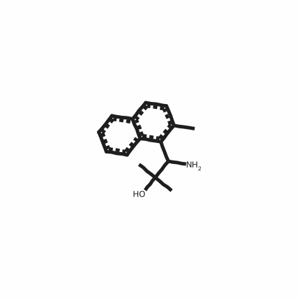 Cc1ccc2ccccc2c1C(N)C(C)(C)O